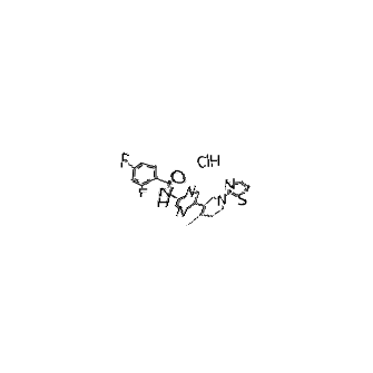 CC1=C(c2cnc(NC(=O)c3ccc(F)cc3F)cn2)CN(c2nccs2)CC1.Cl